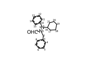 O=CN(Cc1ccccc1)N(c1ccccc1)C1CCCCC1